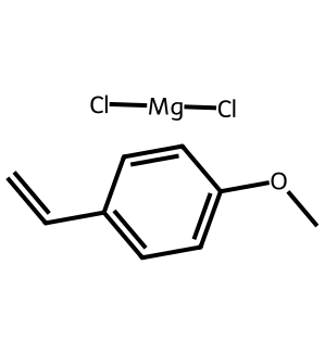 C=Cc1ccc(OC)cc1.[Cl][Mg][Cl]